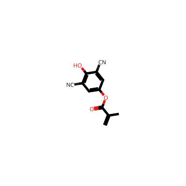 C=C(C)C(=O)Oc1cc(C#N)c(O)c(C#N)c1